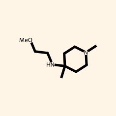 COCCNC1(C)CCN(C)CC1